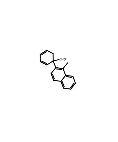 Cc1c(C2(C=O)C=CC=CC2)ccc2ccccc12